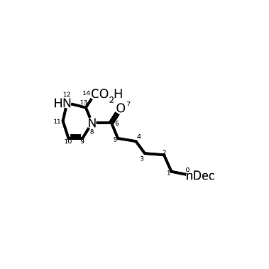 CCCCCCCCCCCCCCCC(=O)N1C=CCNC1C(=O)O